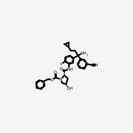 N#Cc1cccc(C(N)(CCC2CC2)c2ccc(F)c(NC(=O)[C@H]3C[C@@H](O)CN3C(=O)OCc3ccccc3)c2)c1